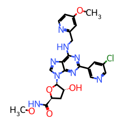 CONC(=O)[C@@H]1C[C@@H](O)[C@H](n2cnc3c(NCc4cc(OC)ccn4)nc(-c4cncc(Cl)c4)nc32)O1